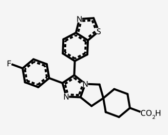 O=C(O)C1CCC2(CC1)Cc1nc(-c3ccc(F)cc3)c(-c3ccc4ncsc4c3)n1C2